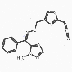 Cn1nnnc1/C(=N\OCc1csc(N=C=O)n1)c1ccccc1